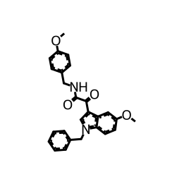 COc1ccc(CNC(=O)C(=O)c2cn(Cc3ccccc3)c3ccc(OC)cc23)cc1